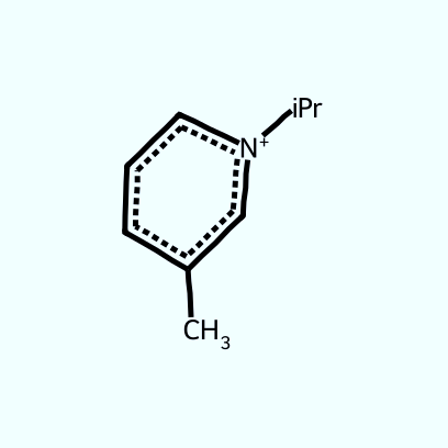 Cc1ccc[n+](C(C)C)c1